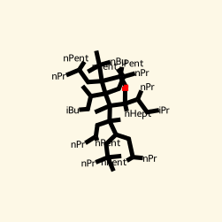 CCCCCCCC(C)(C(CCC)CC(C)C)C(C)(C(C)(CC(CCC)CCCCC)[C](CC(CCC)CCCCC)CC(C)(C)CCC)C(CC(CCC)CCCCC)(C(C)CC(C)CC)C(CC(CCC)CCCCC)(C(C)C(C)CCC)C(C)(C)CCCC